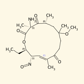 CC[C@H]1OC(=O)[C@@](C)(N)C(=O)[C@H](C)CC(C)(OC)CCC(=O)/C(C)=C/[C@@H]1N=O